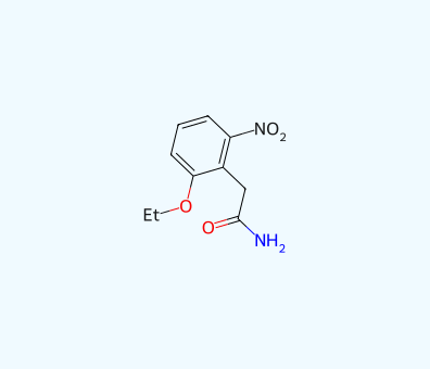 CCOc1cccc([N+](=O)[O-])c1CC(N)=O